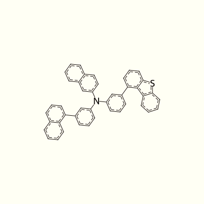 c1cc(-c2cccc3ccccc23)cc(N(c2cccc(-c3cccc4sc5ccccc5c34)c2)c2ccc3ccccc3c2)c1